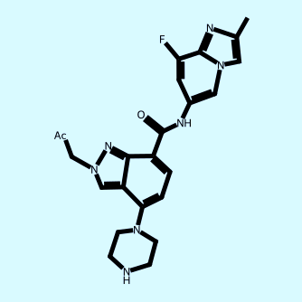 CC(=O)Cn1cc2c(N3CCNCC3)ccc(C(=O)Nc3cc(F)c4nc(C)cn4c3)c2n1